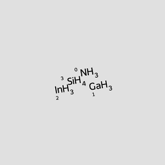 N.[GaH3].[InH3].[SiH4]